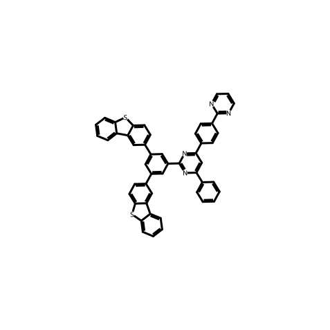 c1ccc(-c2cc(-c3ccc(-c4ncccn4)cc3)nc(-c3cc(-c4ccc5sc6ccccc6c5c4)cc(-c4ccc5sc6ccccc6c5c4)c3)n2)cc1